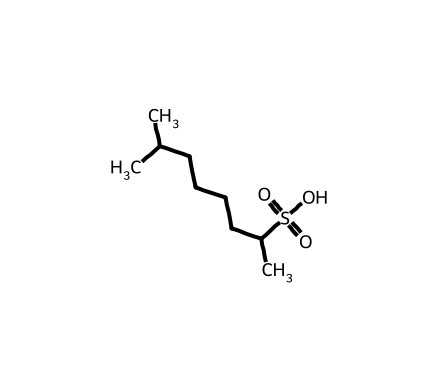 CC(C)CCCCC(C)S(=O)(=O)O